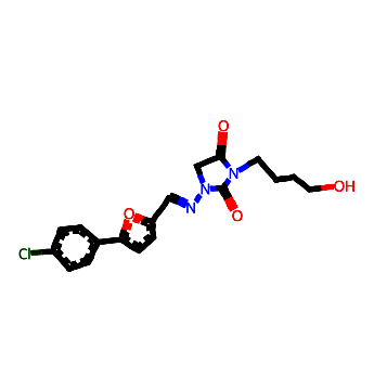 O=C1CN(/N=C/c2ccc(-c3ccc(Cl)cc3)o2)C(=O)N1CCCCO